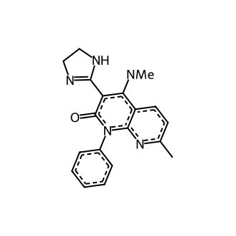 CNc1c(C2=NCCN2)c(=O)n(-c2ccccc2)c2nc(C)ccc12